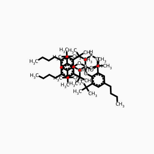 CCCCc1cc(C(C)(C)C)c(OP2(Oc3c(C(C)(C)C)cc(CCCC)cc3C(C)(C)C)(Oc3c(C(C)(C)C)cc(CCCC)cc3C(C)(C)C)OPOPO2)c(C(C)(C)C)c1